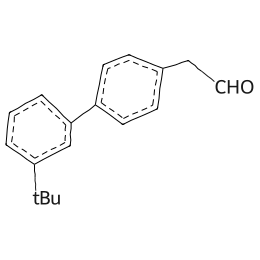 CC(C)(C)c1cccc(-c2ccc(CC=O)cc2)c1